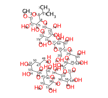 COC1OC(C(C)C)[C@@H](OC2OC(CO)[C@@H](OC3OC(CO)[C@@H](OC4OC(CO)[C@@H](OC5OC(CO)[C@@H](OC6OC(CO)[C@@H](OC7OC(CO)CC(O)[C@H]7O)C(O)[C@H]6O)C(O)[C@H]5O)C(O)[C@H]4O)C(O)[C@H]3O)C(O)[C@H]2O)C(O)[C@H]1O